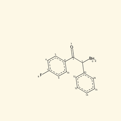 BC(C(=O)c1ccc(F)cc1)c1ccccc1